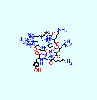 CC[C@H](C)[C@H](NC(=O)[C@@H](N)CCCNC(=N)N)C(=O)N[C@@H](CCCCN)C(=O)N1CCC[C@H]1C(=O)N[C@@H](CCCNC(=N)N)C(=O)N[C@@H](CCCCN)C(=O)NCC(=O)N[C@@H](Cc1ccc(O)cc1)C(=O)N[C@H](C(=O)N[C@@H](CCCNC(=N)N)C(N)=O)[C@@H](C)O